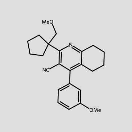 COCC1(c2nc3c(c(-c4cccc(OC)c4)c2C#N)CCCC3)CCCC1